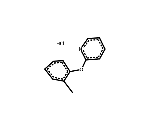 Cc1ccccc1Oc1ccccn1.Cl